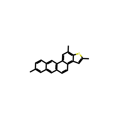 Cc1ccc2cc3c(ccc4c5cc(C)sc5c(C)cc34)cc2c1